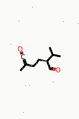 CC(=C=O)CC[C@H](C=O)C(C)C